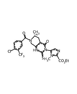 CCOC(=O)c1ncc(-n2c(=S)[nH]c3c(c2=O)C[C@@H](C)N(C(=O)c2ccc(Cl)c(C(F)(F)F)c2)C3)n1C